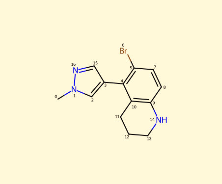 Cn1cc(-c2c(Br)ccc3c2CCCN3)cn1